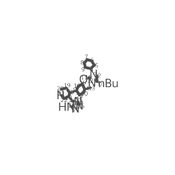 CCCCc1cn(-c2ccccc2)c(=O)n1Cc1ccc(-c2ccncc2-c2nnn[nH]2)cc1